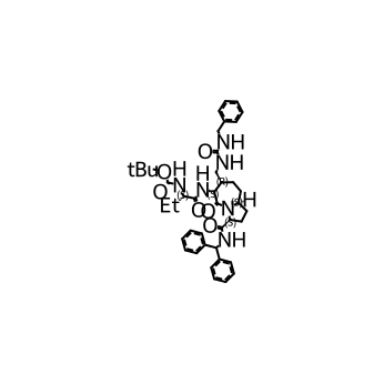 CC[C@H](NC(=O)OC(C)(C)C)C(=O)N[C@@H]1C(=O)N2[C@@H](CC[C@@H]1CNC(=O)NCc1ccccc1)CC[C@H]2C(=O)NC(c1ccccc1)c1ccccc1